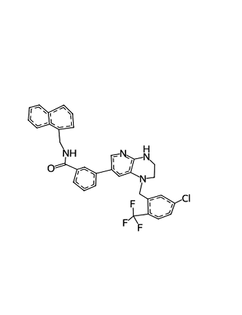 O=C(NCc1cccc2ccccc12)c1cccc(-c2cnc3c(c2)N(Cc2cc(Cl)ccc2C(F)(F)F)CCN3)c1